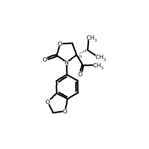 CC(=O)[C@]1(C(C)C)COC(=O)N1c1ccc2c(c1)OCO2